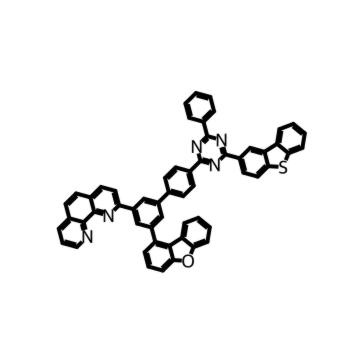 c1ccc(-c2nc(-c3ccc(-c4cc(-c5ccc6ccc7cccnc7c6n5)cc(-c5cccc6oc7ccccc7c56)c4)cc3)nc(-c3ccc4sc5ccccc5c4c3)n2)cc1